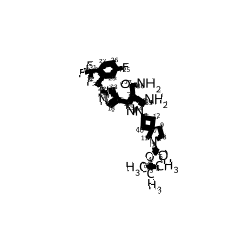 CC(C)(C)OC(=O)N1CC[C@]2(C1)C[C@H](n1nc(-c3cnn(Cc4cc(F)ccc4C(F)(F)F)c3)c(C(N)=O)c1N)C2